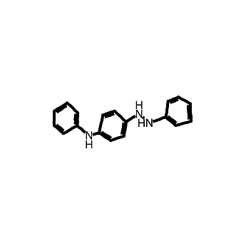 c1ccc(NNc2ccc(Nc3ccccc3)cc2)cc1